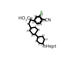 CCCCCCCC1CCC(C2CCC(CC(C(=O)O)c3ccc(C#N)c(F)c3)CC2)CC1